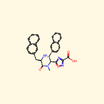 CN(C(=O)C(N)Cc1ccc2ccccc2c1)C(Cc1ccc2ccccc2c1)c1nc(C(=O)O)no1